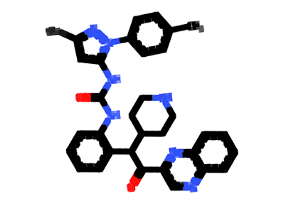 Cc1ccc(-n2nc(C(C)(C)C)cc2NC(=O)Nc2ccccc2C(C(=O)c2cnc3ccccc3n2)C2CCNCC2)cc1